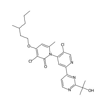 CCCC(C)CCOc1cc(C)n(-c2cc(-c3ccnc(C(C)(C)O)n3)ncc2Cl)c(=O)c1Cl